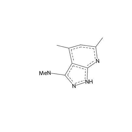 CNc1n[nH]c2nc(C)cc(C)c12